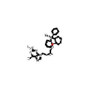 C[C@@H](CCn1cnc2c(Cl)nc(N)nc21)COCc1ccccc1[Si](c1ccccc1)(c1ccccc1)C(C)(C)C